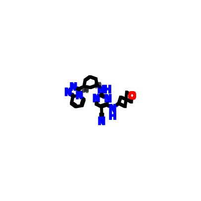 N#Cc1cnc(N[C@@H]2CCC[C@H](c3nnc4ccccn34)C2)nc1NC1CC2(COC2)C1